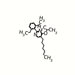 CCCCCCCc1cnc(-c2c(CC)cccc2CC)nc1OC(C)C